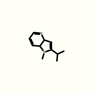 CC(C)C1=CC2N=CC=CC2N1C